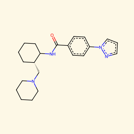 O=C(NC1CCCC[C@H]1CN1CCCCC1)c1ccc(-n2cccn2)cc1